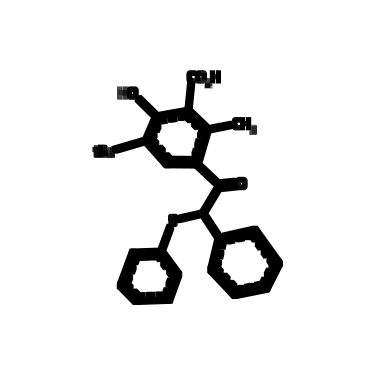 Cc1c(C(=O)C(Sc2ccccc2)c2ccccc2)cc(C(C)(C)C)c(O)c1C(=O)O